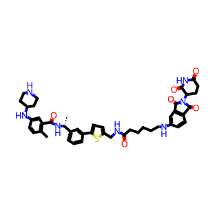 Cc1ccc(NC2CCNCC2)cc1C(=O)N[C@H](C)c1cccc(-c2ccc(CNC(=O)CCCCCNc3ccc4c(c3)C(=O)N(C3CCC(=O)NC3=O)C4=O)s2)c1